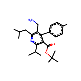 Cc1ccc(-c2c(CN)c(CC(C)C)nc(C(C)C)c2C(=O)OC(C)(C)C)cc1